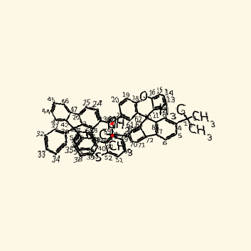 CC(C)(C)c1ccc2c(c1)C1(c3ccccc3Oc3ccc(N(c4ccc5c(c4)C(c4ccccc4)(c4ccccc4)c4ccccc4-5)c4cccc5sc6ccccc6c45)cc31)c1cc(C(C)(C)C)ccc1-2